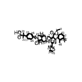 CCOC(=O)C1=C(CN2CC[C@@H]3C(=O)N(c4ccc(C(C)(C)C(=O)O)cc4)C[C@@H]3C2)NC(c2nccs2)=N[C@H]1c1cccc(F)c1C